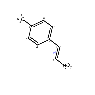 O=[N+]([O-])/C=C/c1ccc(C(F)(F)F)cc1